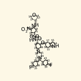 O=C(NS(=O)(=O)c1ccc(NCC2CCOCC2)c([N+](=O)[O-])c1)c1ccc(N2CCN(C(c3ccc(F)cc3)c3ccc(F)cc3)CC2)cc1Oc1ccc2[nH]ccc2c1